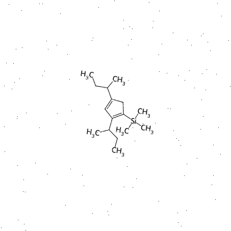 CCC(C)C1=CC(C(C)CC)=C([Si](C)(C)C)C1